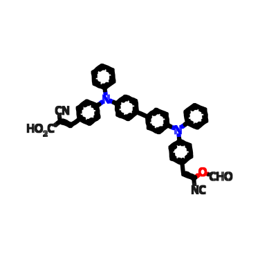 [C-]#[N+]/C(=C/c1ccc(N(c2ccccc2)c2ccc(-c3ccc(N(c4ccccc4)c4ccc(/C=C(\C#N)C(=O)O)cc4)cc3)cc2)cc1)OC=O